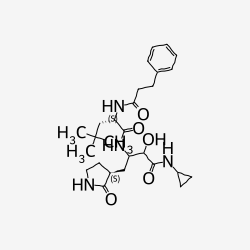 CC(C)(C)C[C@H](NC(=O)CCc1ccccc1)C(=O)NC(C[C@@H]1CCNC1=O)C(O)C(=O)NC1CC1